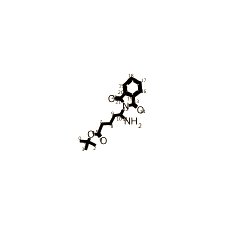 CC(C)(C)OC(=O)CCCC(N)N1C(=O)c2ccccc2C1=O